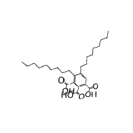 CCCCCCCCCc1cc(C(=O)O)c(C(=O)O)c(C(=O)O)c1CCCCCCCCC